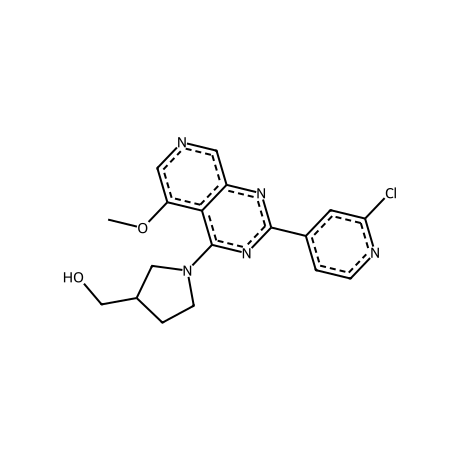 COc1cncc2nc(-c3ccnc(Cl)c3)nc(N3CCC(CO)C3)c12